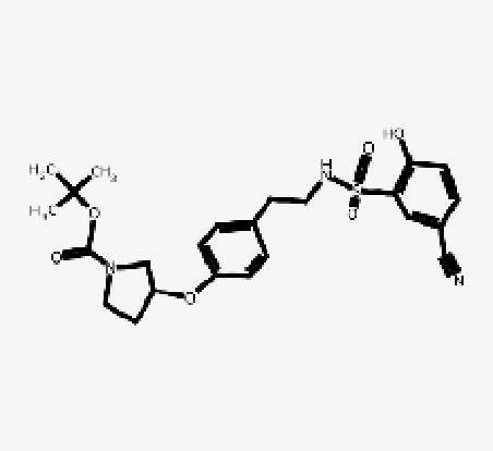 CC(C)(C)OC(=O)N1CC[C@H](Oc2ccc(CCNS(=O)(=O)c3cc(C#N)ccc3O)cc2)C1